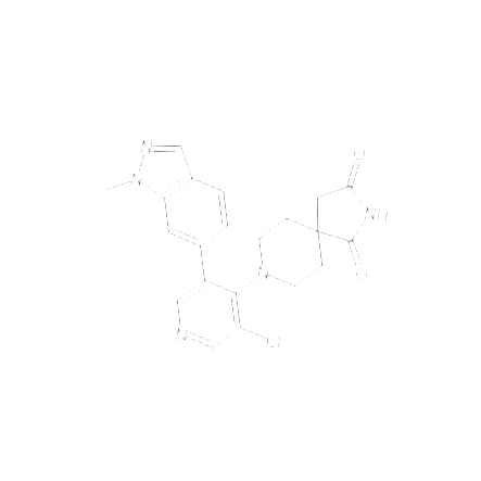 Cn1ncc2ccc(-c3cncc(Cl)c3N3CCC4(CC3)CC(=O)NC4=O)cc21